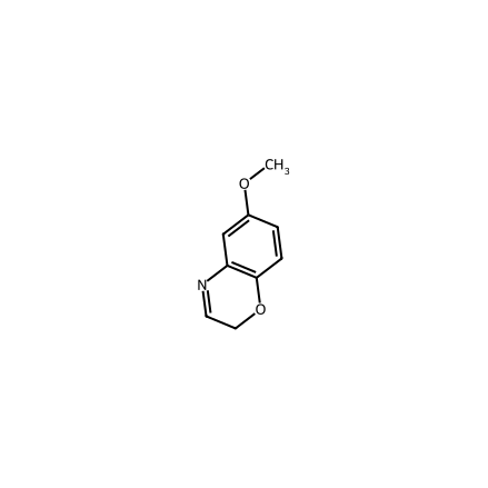 COc1ccc2c(c1)N=CCO2